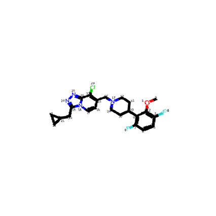 COc1c(F)ccc(F)c1C1CCN(Cc2ccn3c(CC4CC4)nnc3c2Cl)CC1